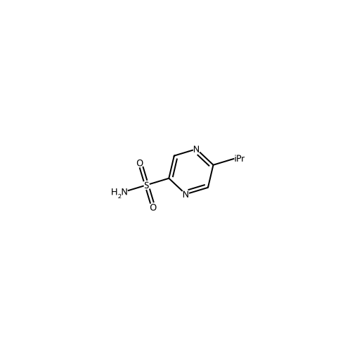 CC(C)c1cnc(S(N)(=O)=O)cn1